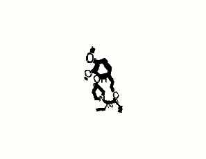 CC[C@H](OCCc1ccc(OC)c(OC)c1)[C@H](CC)N1CC[C@@H](O)C1